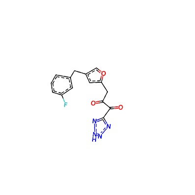 O=C(Cc1cc(Cc2cccc(F)c2)co1)C(=O)c1nn[nH]n1